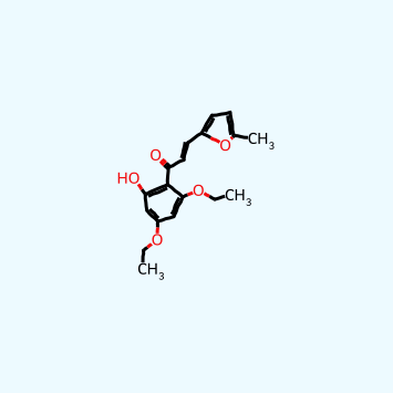 CCOc1cc(O)c(C(=O)C=Cc2ccc(C)o2)c(OCC)c1